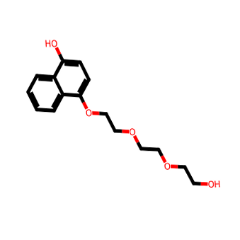 OCCOCCOCCOc1ccc(O)c2ccccc12